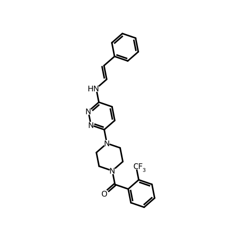 O=C(c1ccccc1C(F)(F)F)N1CCN(c2ccc(NC=Cc3ccccc3)nn2)CC1